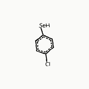 Clc1ccc([SeH])cc1